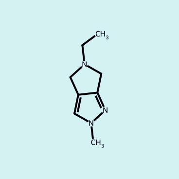 CCN1Cc2cn(C)nc2C1